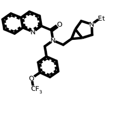 CCN1CC2C(C1)C2CN(Cc1cccc(OC(F)(F)F)c1)C(=O)c1ccc2ccccc2n1